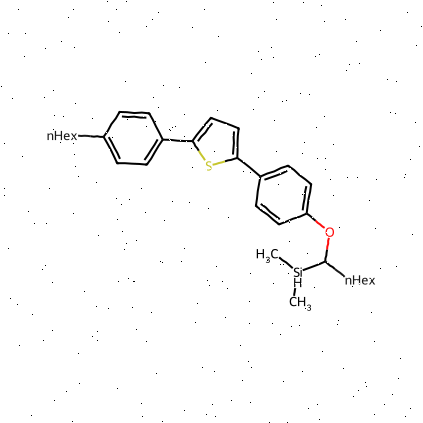 CCCCCCc1ccc(-c2ccc(-c3ccc(OC(CCCCCC)[SiH](C)C)cc3)s2)cc1